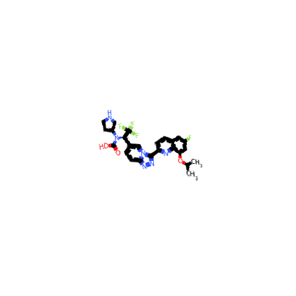 CC(C)Oc1cc(F)cc2ccc(-c3nnc4ccc([C@@H](N(C(=O)O)C5CCNC5)C(F)(F)F)cn34)nc12